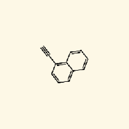 C#Cc1c[c]cc2ccccc12